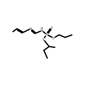 CC=CN=CNP(=S)(OCCC)SC(C)CC